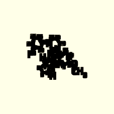 COc1cc(N2C[C@H]3CC[C@@H](C2)C3Nc2nc3n(n2)CCCN3c2cccc(F)c2)ccn1